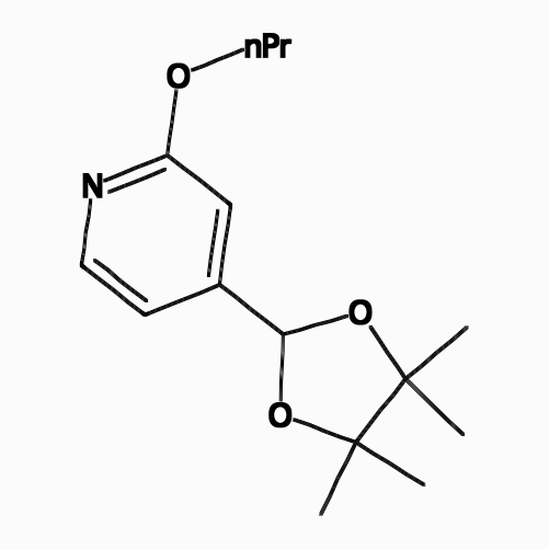 CCCOc1cc(C2OC(C)(C)C(C)(C)O2)ccn1